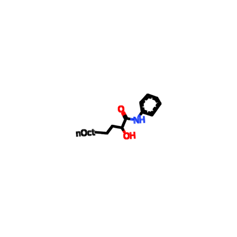 CCCCCCCCCCC(O)C(=O)Nc1ccccc1